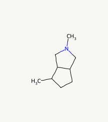 CC1CCC2CN(C)CC12